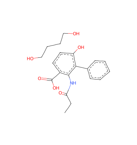 CCC(=O)Nc1c(C(=O)O)ccc(O)c1-c1ccccc1.OCCCCO